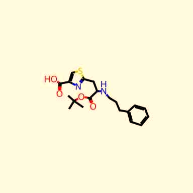 CC(C)(C)OC(=O)C(Cc1nc(C(=O)O)cs1)NCCCc1ccccc1